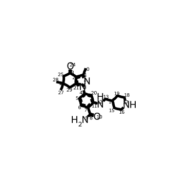 Cc1nn(-c2ccc(C(N)=O)c(NCC3CCNCC3)c2)c2c1C(=O)CC(C)(C)C2